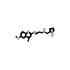 COc1ccc2nc(NCCCNCc3ccc[nH]3)cc(C)c2c1